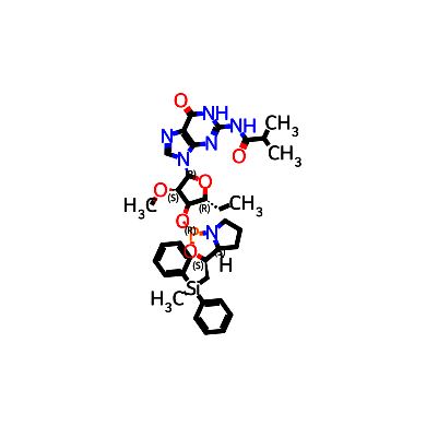 CC[C@H]1O[C@@H](n2cnc3c(=O)[nH]c(NC(=O)C(C)C)nc32)[C@@H](OC)C1O[P@@]1O[C@H](C[Si](C)(c2ccccc2)c2ccccc2)[C@@H]2CCCN21